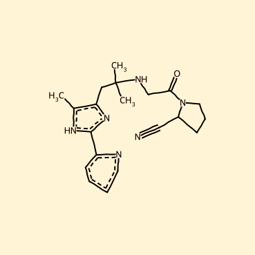 Cc1[nH]c(-c2ccccn2)nc1CC(C)(C)NCC(=O)N1CCCC1C#N